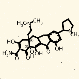 CN(C)CC[C@]12CC(O)=C(C(N)=O)C(=O)[C@@]1(O)C(O)=C1C(=O)c3c(O)cc(C4CCCN4C)cc3CC1C2